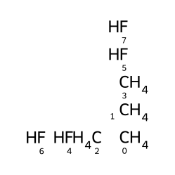 C.C.C.C.F.F.F.F